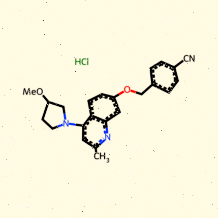 COC1CCN(c2cc(C)nc3cc(OCc4ccc(C#N)cc4)ccc23)C1.Cl